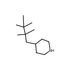 CC(C)(C)C(C)(C)CC1CCNCC1